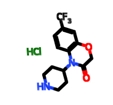 Cl.O=C1COc2cc(C(F)(F)F)ccc2N1C1CCNCC1